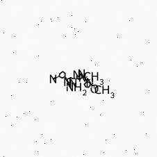 COCc1cccc(C(C)n2cc(-c3cc(-c4cccc(C#N)c4)nc(N)n3)nn2)n1